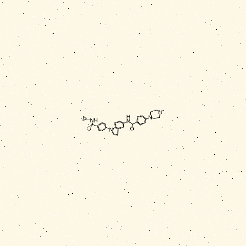 CN1CCN(c2ccc(C(=O)Nc3ccc4c(ccn4-c4ccc(C(=O)NC5CC5)cc4)c3)cc2)CC1